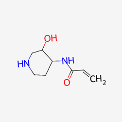 C=CC(=O)NC1CCNCC1O